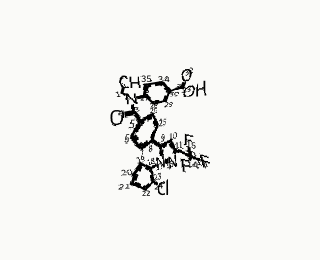 CCN(C(=O)c1ccc(-c2cc(C(F)(F)F)nn2-c2ccccc2Cl)cc1)c1ccc(C(=O)O)cc1